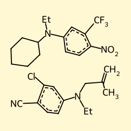 C=C(C)CN(CC)c1ccc(C#N)c(Cl)c1.CCN(c1ccc([N+](=O)[O-])c(C(F)(F)F)c1)C1CCCCC1